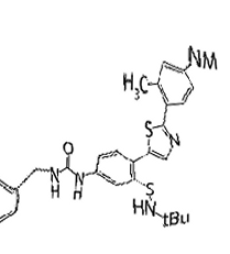 CNc1ccc(-c2ncc(-c3ccc(NC(=O)NCc4ccccc4)cc3SNC(C)(C)C)s2)c(C)c1